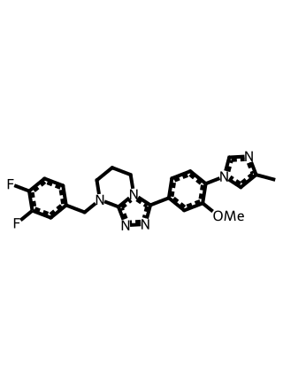 COc1cc(-c2nnc3n2CCCN3Cc2ccc(F)c(F)c2)ccc1-n1cnc(C)c1